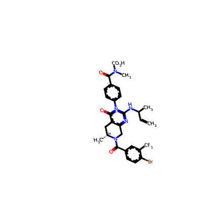 C=CC(C)Nc1nc2c(c(=O)n1-c1ccc(C(=O)N(C)C(=O)O)cc1)C[C@@H](C)N(C(=O)c1ccc(Br)c(C(F)(F)F)c1)C2